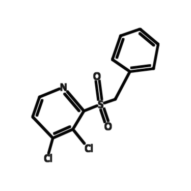 O=S(=O)(Cc1ccccc1)c1nccc(Cl)c1Cl